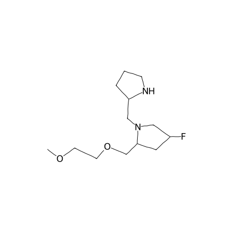 COCCOCC1CC(F)CN1CC1CCCN1